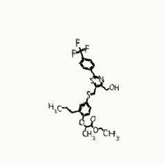 CCCc1cc(SCc2sc(-c3ccc(C(F)(F)F)cc3)nc2CO)ccc1OC(C)C(=O)OCC